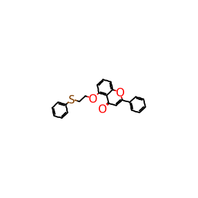 O=c1cc(-c2ccccc2)oc2cccc(OCCSc3ccccc3)c12